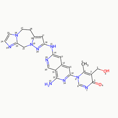 Cc1c(CO)c(=O)ncn1-c1cc2cc(Nc3cc4n(n3)Cc3nccn3CC4)ncc2c(N)n1